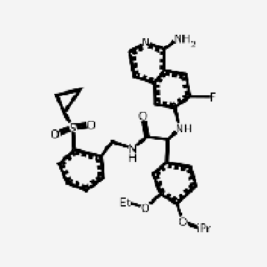 CCOc1cc(C(Nc2cc3ccnc(N)c3cc2F)C(=O)NCc2ccccc2S(=O)(=O)C2CC2)ccc1OC(C)C